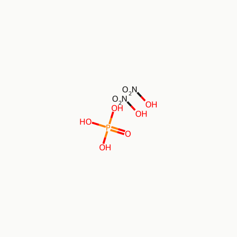 O=P(O)(O)O.O=[N+]([O-])O.O=[N+]([O-])O